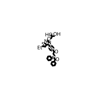 CCc1cc2c(N3CCN(C(=O)CCN(C(=O)c4ccccc4)c4ccccc4)CC3)nc(OCC(O)CO)nc2s1